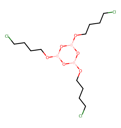 ClCCCCOB1OB(OCCCCCl)OB(OCCCCCl)O1